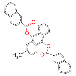 Cc1ccc2c(OC(=O)c3ccc4ccccc4c3)c3ccccc3c(OC(=O)c3ccc4ccccc4c3)c2c1